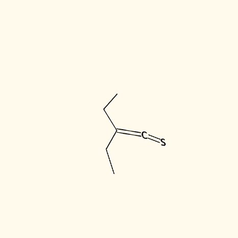 CCC(=C=S)CC